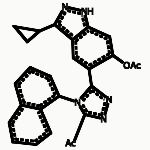 CC(=O)Oc1cc2[nH]nc(C3CC3)c2cc1-c1nnc(C(C)=O)n1-c1cccc2ccccc12